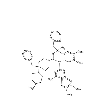 COc1cc2c(cc1OC)C(N)(Cc1ccccc1)N=C(N1CCC(Cc3ccccc3)(N3CCC(C(=O)O)CC3)CC1)N2c1nc(N)c2cc(OC)c(OC)cc2n1